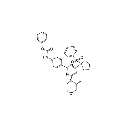 C[C@H]1COCCN1c1cc(C2(S(=O)(=O)c3ccccc3)CCCC2)nc(-c2ccc(NC(=O)Oc3ccccc3)cc2)n1